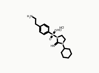 Cl.Cl.N=C1N(C2CCCCC2)CCN1S(=O)(=O)c1ccc(CCN)cc1